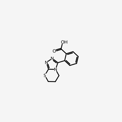 O=C(O)c1ccccc1-c1nnc2n1CCCS2